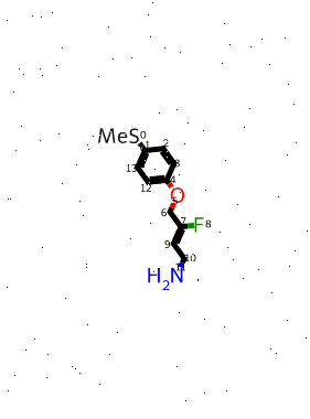 CSc1ccc(OCC(F)=CCN)cc1